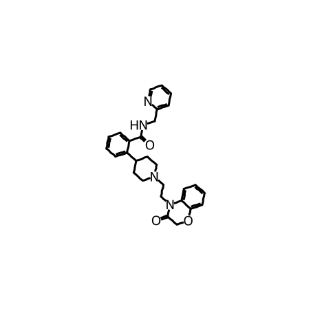 O=C(NCc1ccccn1)c1ccccc1C1CCN(CCN2C(=O)COc3ccccc32)CC1